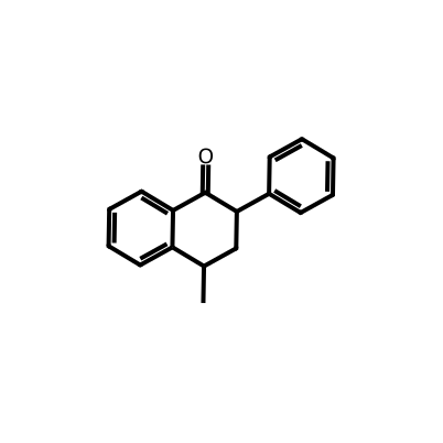 CC1CC(c2ccccc2)C(=O)c2ccccc21